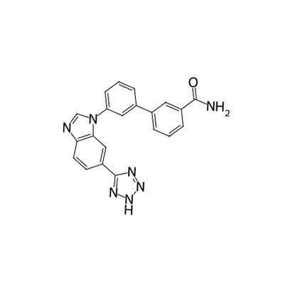 NC(=O)c1cccc(-c2cccc(-n3cnc4ccc(-c5nn[nH]n5)cc43)c2)c1